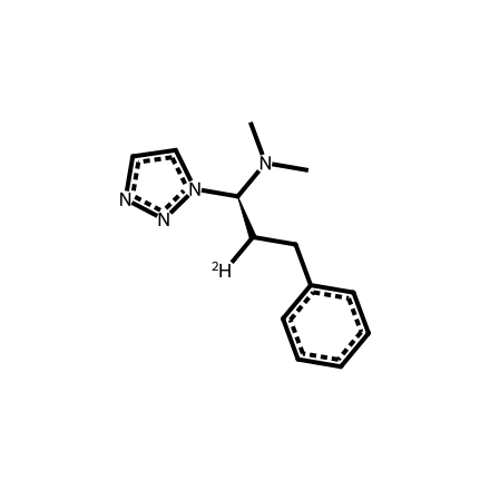 [2H]C(Cc1ccccc1)[C@H](N(C)C)n1ccnn1